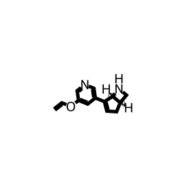 C=COc1cncc(C2=CC[C@@H]3CN[C@H]23)c1